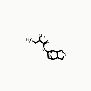 CCC(C)C(=O)OC1CC2SC1C1COCC21